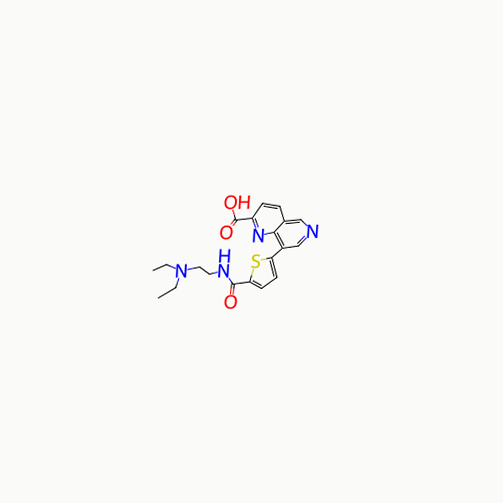 CCN(CC)CCNC(=O)c1ccc(-c2cncc3ccc(C(=O)O)nc23)s1